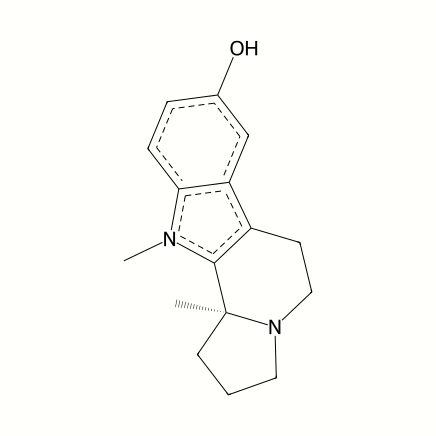 Cn1c2c(c3cc(O)ccc31)CCN1CCC[C@@]21C